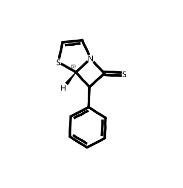 S=C1C(c2ccccc2)[C@@H]2SC=CN12